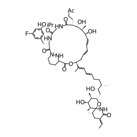 C/C=C1\C[C@H](C)[C@@]2(NC1=O)O[C@@H](C[C@H](O)[C@@H](C)CC/C=C/C=C(\C)[C@@H]1C/C=C/C=C/[C@H](O)[C@H](C)[C@@H](O)[C@@H](CCC(C)=O)C(=O)N[C@@H](C(C)C)C(=O)N[C@@H](Cc3cc(O)cc(F)c3)C(=O)N3CCCC(N3)C(=O)O1)[C@H](C)[C@H](O)[C@@H]2C